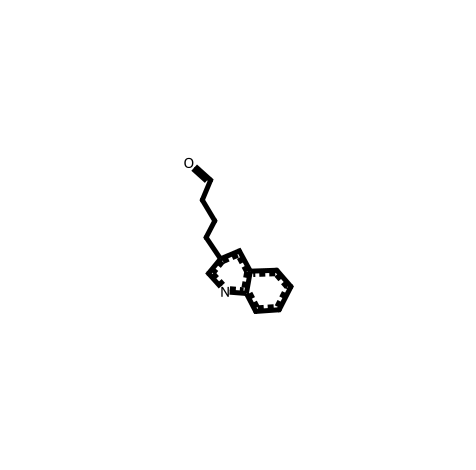 O=CCCCc1cnc2ccccc2c1